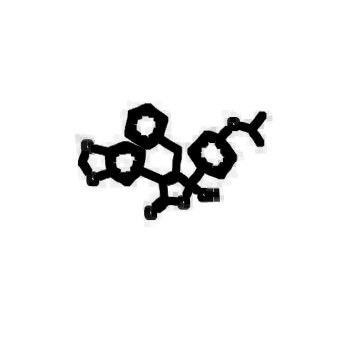 CC(C)Oc1ccc(C2(O)OC(=O)C(c3ccc4c(c3)OCO4)=C2Cc2ccccc2)cc1